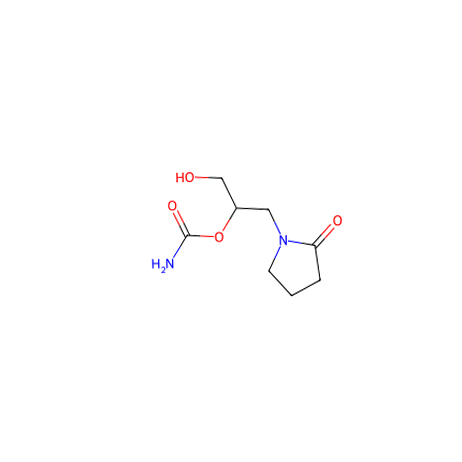 NC(=O)OC(CO)CN1CCCC1=O